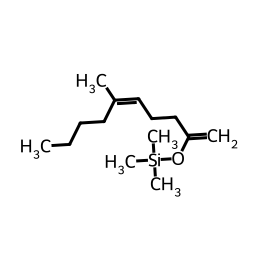 C=C(CCC=C(C)CCCC)O[Si](C)(C)C